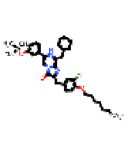 CC(C)(C)[Si](C)(C)Oc1cccc(-c2cn3c(=O)c(Cc4ccc(OCCCCCCS(=O)(=O)O)c(Cl)c4)nc-3c(Cc3ccccc3)[nH]2)c1